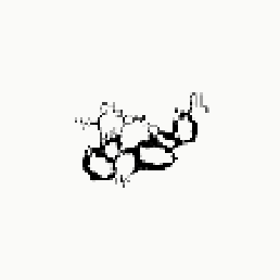 Cc1ccc2c(n1)oc1c(N3c4cccnc4N(C(C)C)[C@@H]3C)c(C)ccc12